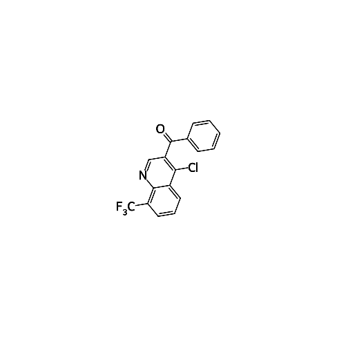 O=C(c1ccccc1)c1cnc2c(C(F)(F)F)cccc2c1Cl